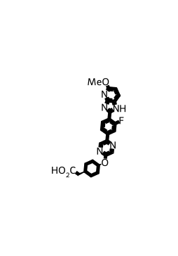 COc1ccc2[nH]c(-c3ccc(-c4cnc(O[C@H]5CC[C@H](CC(=O)O)CC5)cn4)cc3F)nc2n1